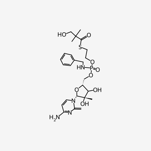 C=C1N=C(N)C=CN1[C@@H]1O[C@H](COP(=O)(NCc2ccccc2)OCCSC(=O)C(C)(C)CO)C(O)[C@]1(C)O